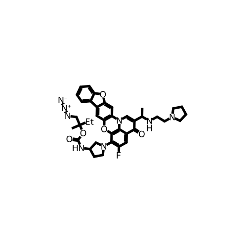 CCC(C)(CN=[N+]=[N-])OC(=O)NC1CCN(c2c(F)cc3c(=O)c(C(C)NCCN4CCCC4)cn4c3c2Oc2cc3c(cc2-4)oc2ccccc23)C1